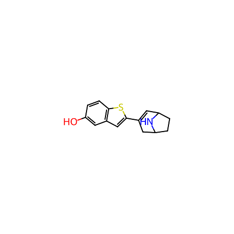 Oc1ccc2sc(C3=CC4CCC(C3)N4)cc2c1